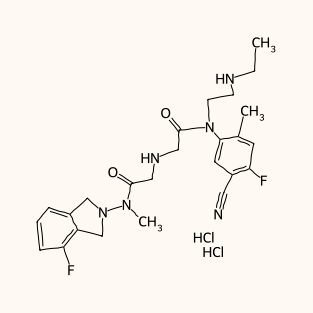 CCNCCN(C(=O)CNCC(=O)N(C)N1Cc2cccc(F)c2C1)c1cc(C#N)c(F)cc1C.Cl.Cl